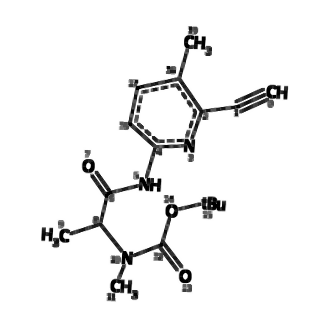 C#Cc1nc(NC(=O)C(C)N(C)C(=O)OC(C)(C)C)ccc1C